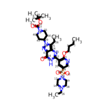 CCCCOc1ncc(S(=O)(=O)N2CCN(CC)CC2)cc1-c1nc2c(CC)n(C3CCN(C(=O)OC(C)(C)C)CC3)nc2c(=O)[nH]1